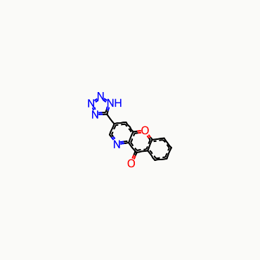 O=c1c2ccccc2oc2cc(-c3nnn[nH]3)cnc12